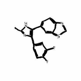 Cc1nc(-c2ccc(F)c(F)c2)c(-c2ccc3ncsc3c2)[nH]1